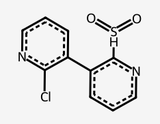 O=[SH](=O)c1ncccc1-c1cccnc1Cl